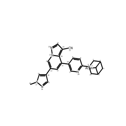 CC(=O)NC1C2CC1CN(c1ccc(-c3cc(-c4cnn(C)c4)cn4ncc(C#N)c34)cn1)C2